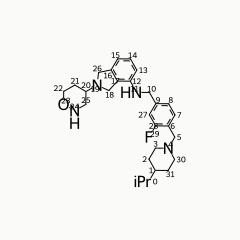 CC(C)C1CCN(Cc2ccc(CNc3cccc4c3CN(C3CCONC3)C4)cc2F)CC1